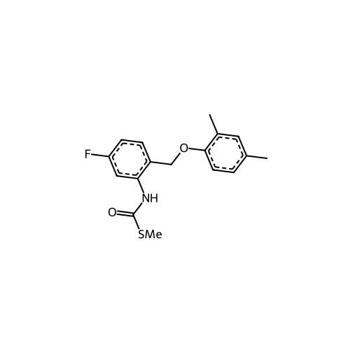 CSC(=O)Nc1cc(F)ccc1COc1ccc(C)cc1C